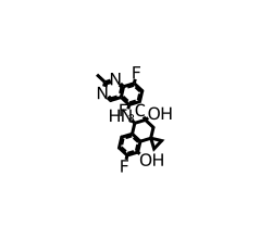 Cc1ncc2c(NC3c4ccc(F)c(O)c4C4(CC4)CC3(O)C(F)(F)F)ccc(F)c2n1